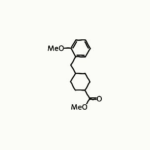 COC(=O)C1CCC(Cc2ccccc2OC)CC1